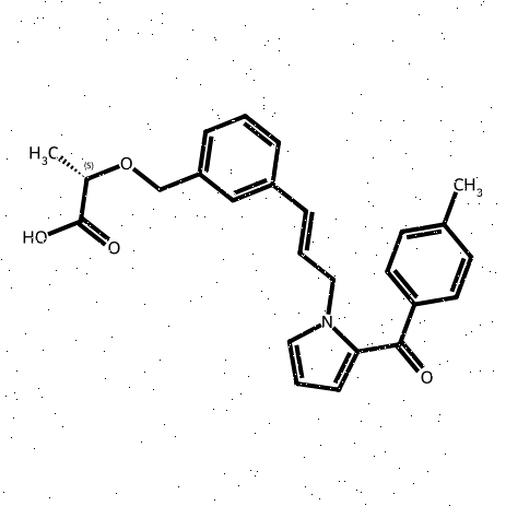 Cc1ccc(C(=O)c2cccn2CC=Cc2cccc(CO[C@@H](C)C(=O)O)c2)cc1